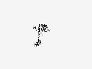 CC(SCCNCCCCCC1SCC2NC(=O)NC21)c1cnc(C(=O)O)c(C(=O)O)c1